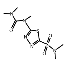 CN(C)C(=O)N(C)c1nnc(S(=O)(=O)N(C)C)s1